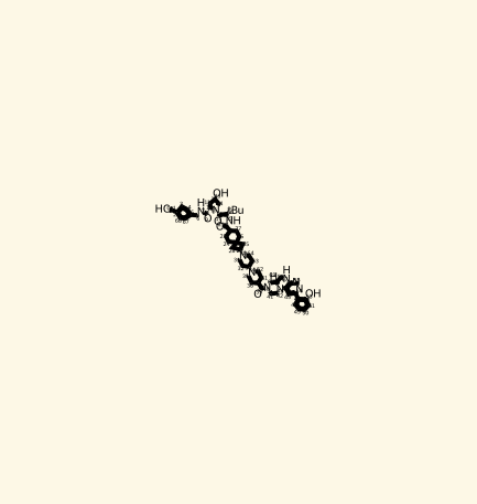 C#Cc1ccc(CNC(=O)[C@@H]2C[C@@H](O)CN2C(=O)[C@@H](NC(=O)C2CCC3(CC2)CC(N2CCC(N4CCC(C(=O)N5CCN6c7cc(-c8ccccc8O)nnc7NC[C@H]6C5)CC4)CC2)C3)C(C)(C)C)cc1